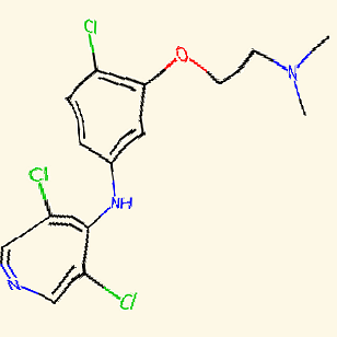 CN(C)CCOc1cc(Nc2c(Cl)cncc2Cl)ccc1Cl